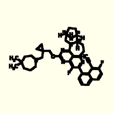 C#Cc1c(F)ccc2cccc(-c3nc4c5c(nc(OCC6(CN7CCCS(C)(C)CC7)CC6)nc5c3F)N3C[C@H]5CC[C@H](N5)[C@@H]3CC4)c12